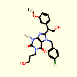 Cn1c(=O)n(CCCO)c(=O)c2c1nc(C(CO)c1cccc(OC(F)(F)F)c1)n2Cc1ccc(Cl)cc1